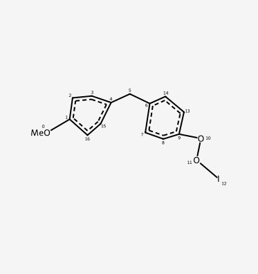 COc1ccc(Cc2ccc(OOI)cc2)cc1